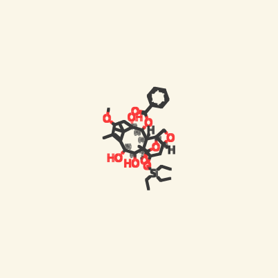 CC[Si](CC)(CC)OC1C[C@H]2OC[C@@]2(OC(C)=O)[C@H]2[C@H](OC(=O)c3ccccc3)[C@]3(O)CC(OC)C(C)=C([C@H](O)[C@H](O)[C@]12C)C3(C)C